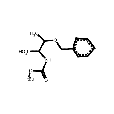 CC(OCc1ccccc1)C(NC(=O)OC(C)(C)C)C(=O)O